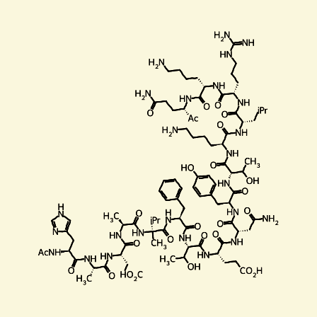 CC(=O)N[C@@H](Cc1c[nH]cn1)C(=O)N[C@@H](C)C(=O)N[C@@H](CC(=O)O)C(=O)N[C@@H](C)C(=O)N[C@](C)(C(=O)N[C@@H](Cc1ccccc1)C(=O)N[C@H](C(=O)N[C@@H](CCC(=O)O)C(=O)N[C@@H](CC(N)=O)C(=O)N[C@@H](Cc1ccc(O)cc1)C(=O)N[C@H](C(=O)N[C@@H](CCCCN)C(=O)N[C@@H](CC(C)C)C(=O)N[C@@H](CCCNC(=N)N)C(=O)N[C@@H](CCCCN)C(=O)N[C@@H](CCC(N)=O)C(C)=O)C(C)O)C(C)O)C(C)C